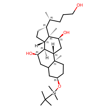 C[C@H](CCCO)[C@H]1CC[C@H]2[C@@H]3[C@H](O)CC4C[C@H](O[Si](C)(C)C(C)(C)C)CC[C@]4(C)[C@H]3C[C@H](O)[C@]12C